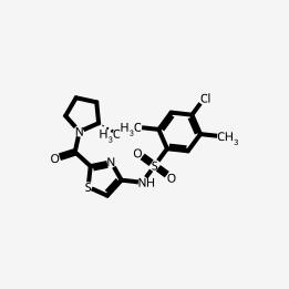 Cc1cc(S(=O)(=O)Nc2csc(C(=O)N3CCC[C@@H]3C)n2)c(C)cc1Cl